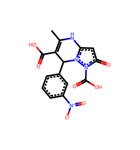 CC1=C(C(=O)O)C(c2cccc([N+](=O)[O-])c2)n2c(cc(=O)n2C(=O)O)N1